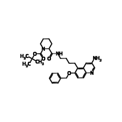 CC(C)(C)OC(=O)N1CCCCC1C(=O)NCCCCc1c(OCc2ccccc2)ccc2ncc(N)cc12